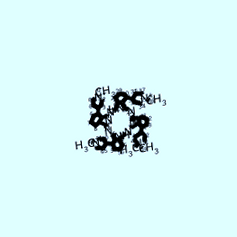 C[n+]1ccc(-c2cccc3c2-c2nc-3nc3[nH]c(nc4nc(nc5[nH]c(n2)c2cccc(-c6cc[n+](C)cc6)c52)-c2cccc(C5=CC[N+](C)(C)C=C5)c2-4)c2cccc(-c4cc[n+](C)cc4)c32)cc1